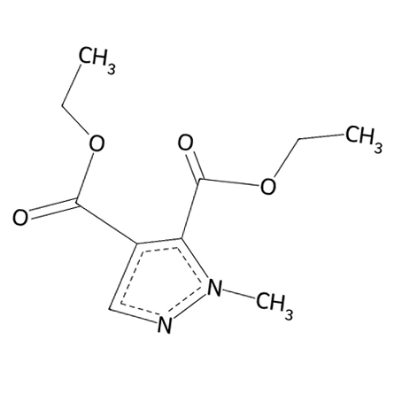 CCOC(=O)c1cnn(C)c1C(=O)OCC